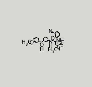 C/N=C(\C=C(/Nc1cccc(C#N)c1)C(=O)Nc1cccc(C(O)c2cccc(OC)c2)c1)C(F)(F)F